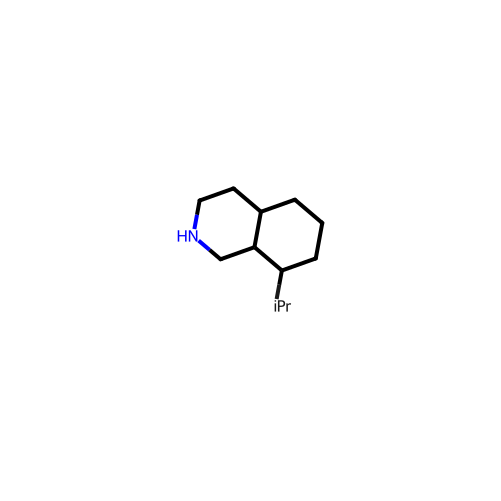 CC(C)C1CCCC2CCNCC21